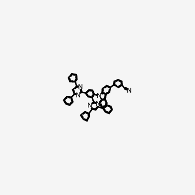 N#Cc1cccc(-c2ccc3c(c2)c2ccccc2n3-c2ccc(-c3nc(-c4ccccc4)cc(-c4ccccc4)n3)cc2-c2nc(-c3ccccc3)cc(-c3ccccc3)n2)c1